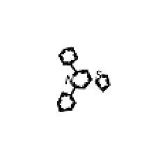 c1ccc(-c2cccc(-c3ccccc3)n2)cc1.c1ccsc1